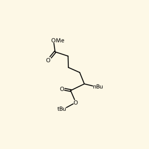 CCCCC(CCCC(=O)OC)C(=O)OC(C)(C)C